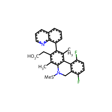 CSN1Cc2c(F)ccc(F)c2-c2c(C)c(-c3cccc4cccnc34)c(CC(=O)O)c(C)c21